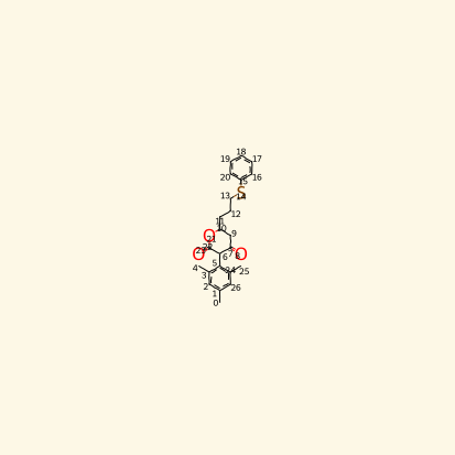 Cc1cc(C)c(C2C(=O)CC(CCCSc3ccccc3)OC2=O)c(C)c1